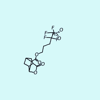 O=C1OC2C3CC(CC13)C2C(=O)OCCCC(F)(F)C(F)(F)[SH](=O)=O